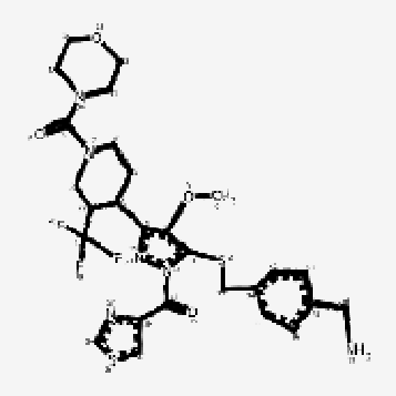 COc1c(C2CCN(C(=O)N3CCOCC3)CC2C(F)(F)F)nn(C(=O)c2cscn2)c1SCc1ccc(CN)cc1